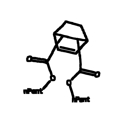 CCCCCOC(=O)C1C2C=CC(CC2)C1C(=O)OCCCCC